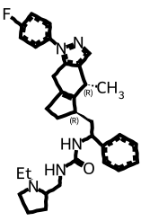 CCN1CCCC1CNC(=O)NC(C[C@H]1CCC2=C1[C@@H](C)c1cnn(-c3ccc(F)cc3)c1C2)c1ccccc1